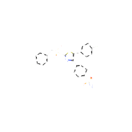 NS(=O)(=O)c1ccc(-c2nc(S(=O)(=O)Cc3ccc(F)cc3)sc2-c2ccc(F)cc2)cc1